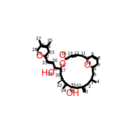 C=C1CC(C)CC2CC=CC(C/C=C\C(=O)OC(C(O)/C=C/C3CC(C)=C(C)CO3)C[C@H](C)C(C)[C@@H](O)C1)O2